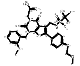 COCOc1ccc(-c2sc3c(c2CNS(=O)(=O)C(F)(F)F)c(=O)n(CC(=O)O)c(=O)n3Cc2ccccc2SC)cc1